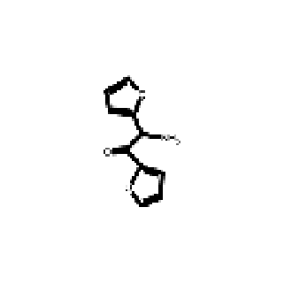 NC(C(=O)c1ccco1)c1ccco1